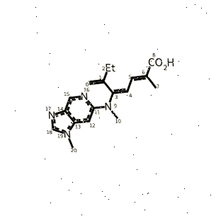 C=C(CC)/C(=C\C=C(/C)C(=O)O)N(C)c1cc2c(cn1)ncn2C